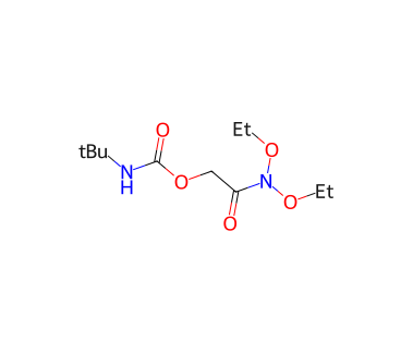 CCON(OCC)C(=O)COC(=O)NC(C)(C)C